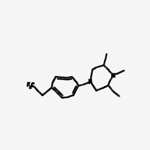 CC1CN(c2ccc(CC(F)(F)F)cc2)CC(C)N1C